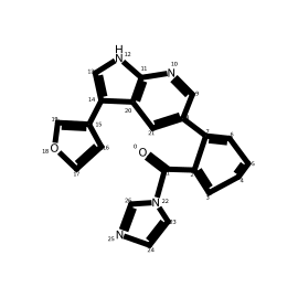 O=C(c1ccccc1-c1cnc2[nH]cc(-c3ccoc3)c2c1)n1ccnc1